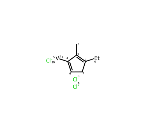 CCC1=C(C)[C]([V+3])=CC1.[Cl-].[Cl-].[Cl-]